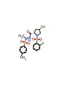 Cc1ccc(S(=O)(=O)N(C)NC(=O)[C@@H]2C[C@@H](S)CN2S(=O)(=O)c2ccccc2F)cc1